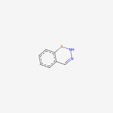 [c]1ccc2c(c1)C=NNS2